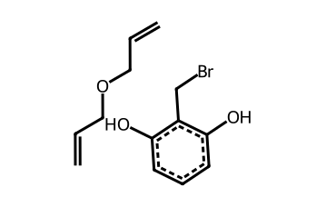 C=CCOCC=C.Oc1cccc(O)c1CBr